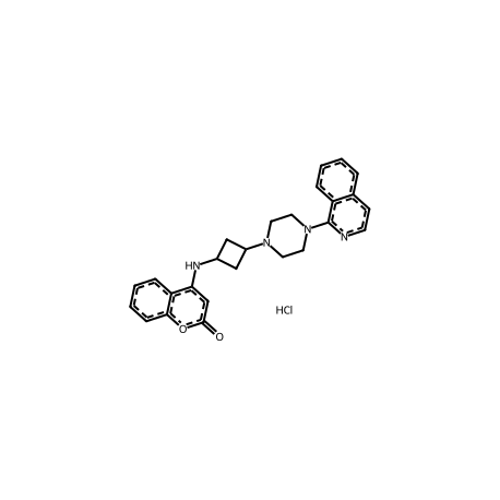 Cl.O=c1cc(NC2CC(N3CCN(c4nccc5ccccc45)CC3)C2)c2ccccc2o1